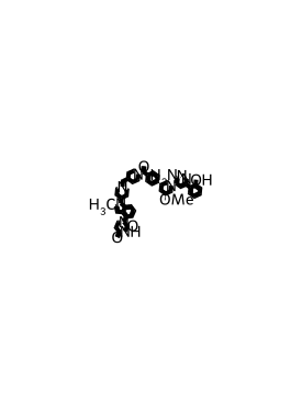 CO[C@@H]1C[C@H](c2ccc(C(=O)N3CCC(CN4CCC(n5c(C)cc6c(N7CCC(=O)NC7=O)cccc65)CC4)CC3)cc2)CN(c2cc(-c3ccccc3O)nnc2N)C1